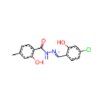 Cc1ccc(C(=O)N/N=C/c2ccc(Cl)cc2O)c(O)c1